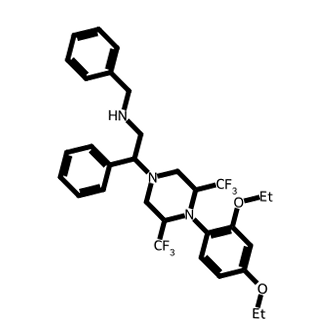 CCOc1ccc(N2C(C(F)(F)F)CN(C(CNCc3ccccc3)c3ccccc3)CC2C(F)(F)F)c(OCC)c1